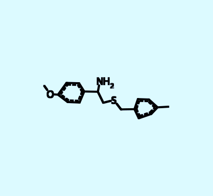 COc1ccc(C(N)CSCc2ccc(C)cc2)cc1